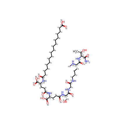 C[C@@H](O)[C@H](NC(=O)[C@H](CCCCNC(=O)CNC(=O)[C@H](CO)NC(=O)CC[C@H](NC(=O)CC[C@H](NC(=O)CCCCCCCCCCCCCCCCC(=O)O)C(=O)O)C(=O)O)NI)C(N)=O